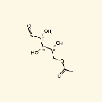 CC(=O)OC[C@@H](O)[C@H](O)[C@@H](O)C=O